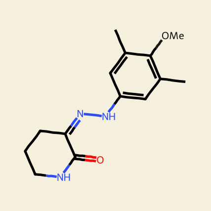 COc1c(C)cc(NN=C2CCCNC2=O)cc1C